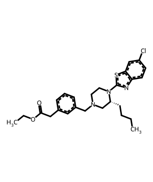 CCCC[C@@H]1CN(Cc2cccc(CC(=O)OCC)c2)CCN1c1nc2ccc(Cl)cc2s1